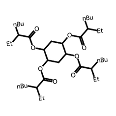 CCCCC(CC)C(=O)OC1CC(OC(=O)C(CC)CCCC)C(OC(=O)C(CC)CCCC)CC1OC(=O)C(CC)CCCC